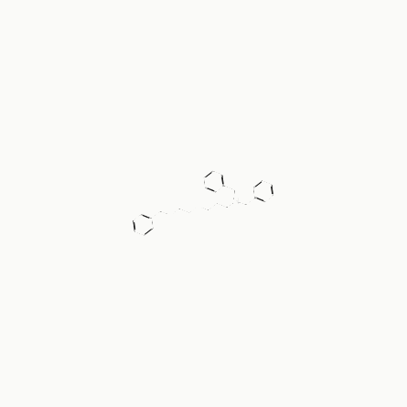 c1ccc(COCCOCCCN(Cc2ccccc2)Cc2ccccc2)cc1